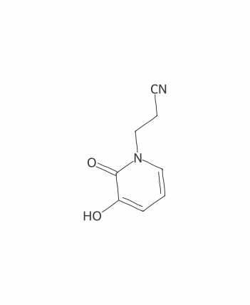 N#CCCn1cccc(O)c1=O